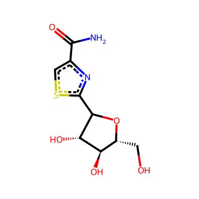 NC(=O)c1csc(C2O[C@H](CO)[C@@H](O)[C@@H]2O)n1